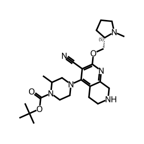 CC1CN(c2c(C#N)c(OC[C@@H]3CCCN3C)nc3c2CCNC3)CCN1C(=O)OC(C)(C)C